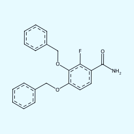 NC(=O)c1ccc(OCc2ccccc2)c(OCc2ccccc2)c1F